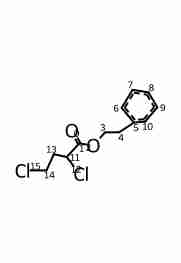 O=C(OCCc1ccccc1)C(Cl)CCCl